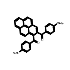 COc1ccc(C(=O)c2cc3ccc4cccc5ccc(c2C(=O)c2ccc(OC)cc2)c3c45)cc1